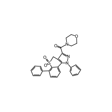 O=C(c1nn(-c2ccccc2)c2c1CS(=O)(=O)c1c(-c3ccccc3)cccc1-2)N1CCOCC1